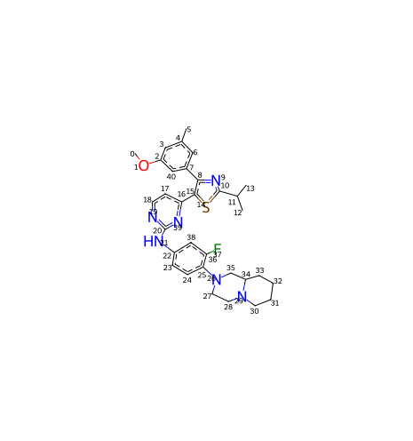 COc1cc(C)cc(-c2nc(C(C)C)sc2-c2ccnc(Nc3ccc(N4CCN5CCCCC5C4)c(F)c3)n2)c1